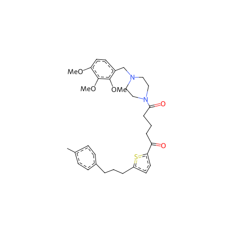 COc1ccc(CN2CCN(C(=O)CCCC(=O)c3ccc(CCCc4ccc(C)cc4)s3)CC2)c(OC)c1OC